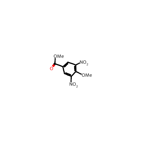 COC(=O)c1cc([N+](=O)[O-])c(OC)c([N+](=O)[O-])c1